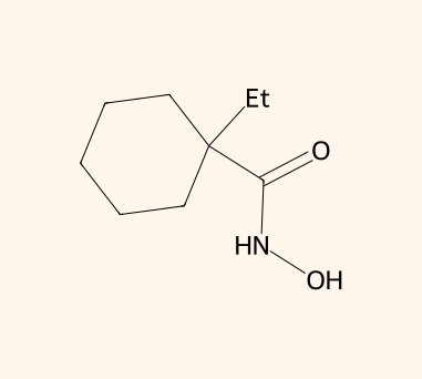 CCC1(C(=O)NO)CCCCC1